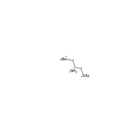 CCCCCCCOC(C)=O.N